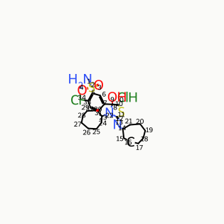 Cl.NS(=O)(=O)c1cc(C2(O)CSC(=NC3CCCCCCC3)N2C2CCCCCCC2)ccc1Cl